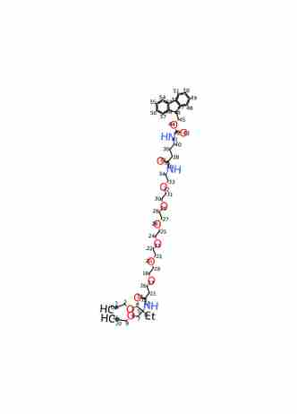 C#CCOCC(CC)(COCC#C)NC(=O)CCOCCOCCOCCOCCOCCOCCNC(=O)CCCNC(=O)OCC1c2ccccc2-c2ccccc21